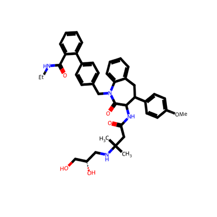 CCNC(=O)c1ccccc1-c1ccc(CN2C(=O)C(NC(=O)CC(C)(C)NC[C@H](O)CO)C(c3ccc(OC)cc3)Cc3ccccc32)cc1